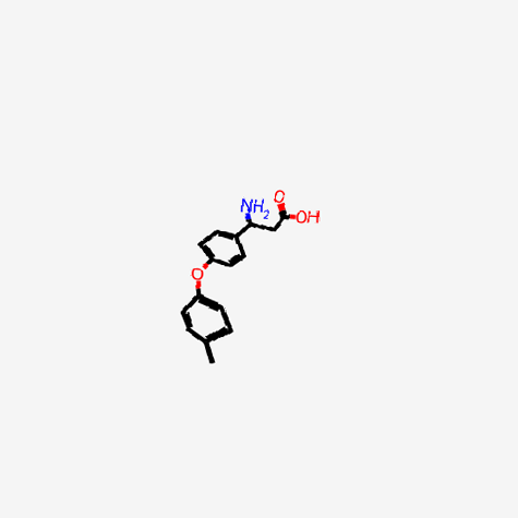 Cc1ccc(Oc2ccc(C(N)CC(=O)O)cc2)cc1